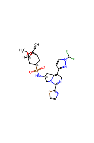 C#CC1(O)C2C[C@@H](S(=O)(=O)N[C@H]3CC4=C(c5ccn(C(F)F)n5)CN=C(c5nccs5)N4C3)C[C@@H]1[C@@H](C)C2